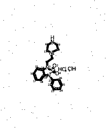 Cl.Cl.O=S1(=O)N(CCN2CCNCC2)c2ccccc2N1c1ccccc1